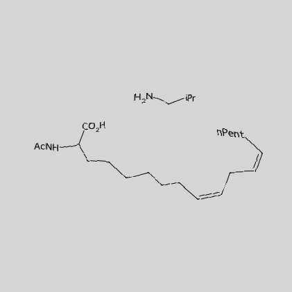 CC(C)CN.CCCCC/C=C\C/C=C\CCCCCCC(NC(C)=O)C(=O)O